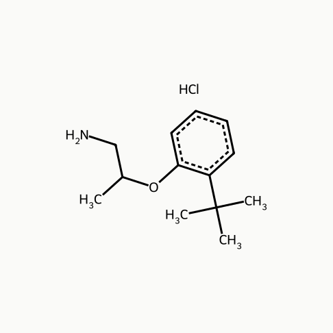 CC(CN)Oc1ccccc1C(C)(C)C.Cl